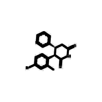 Cc1cc(Br)ccc1[C@@H]1C(=O)NC(=O)C[C@H]1c1cccnc1